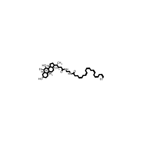 CC/C=C\C/C=C\C/C=C\C/C=C\C/C=C\C/C=C\CCC(=O)NCCNC(=O)CC[C@@H](C)C1CC[C@H]2[C@@H]3[C@H](O)[C@H](CC)[C@@H]4C[C@H](O)CC[C@]4(C)[C@H]3CC[C@]12C